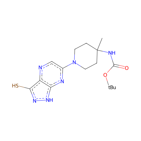 CC1(NC(=O)OC(C)(C)C)CCN(c2cnc3c(S)n[nH]c3n2)CC1